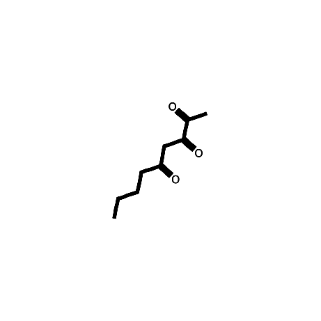 CCCCC(=O)CC(=O)C(C)=O